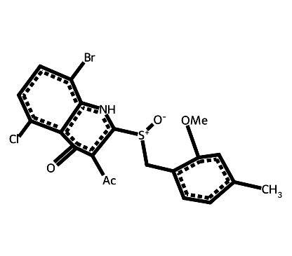 COc1cc(C)ccc1C[S+]([O-])c1[nH]c2c(Br)ccc(Cl)c2c(=O)c1C(C)=O